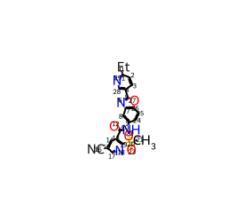 CCc1ccc(-c2nc3cc(NC(=O)c4cc(C#N)cnc4S(C)(=O)=O)ccc3o2)cn1